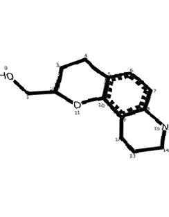 OCC1CCc2ccc3c(c2O1)CCCN3